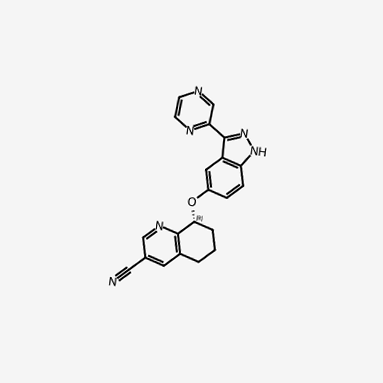 N#Cc1cnc2c(c1)CCC[C@H]2Oc1ccc2[nH]nc(-c3cnccn3)c2c1